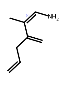 C=CCC(=C)/C(C)=C\N